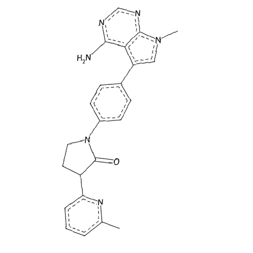 Cc1cccc(C2CCN(c3ccc(-c4cn(C)c5ncnc(N)c45)cc3)C2=O)n1